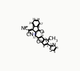 Cn1c(-c2nccs2)cc2oc(/C=C3\C(=O)c4ccccc4C3=C(C#N)C#N)cc21